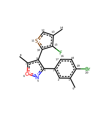 Cc1cc(-c2noc(C)c2-c2scc(C)c2F)ccc1Br